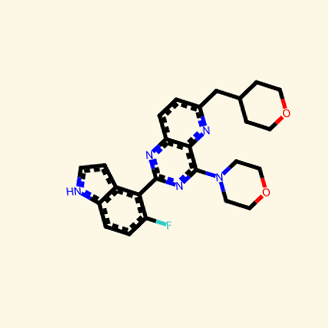 Fc1ccc2[nH]ccc2c1-c1nc(N2CCOCC2)c2nc(CC3CCOCC3)ccc2n1